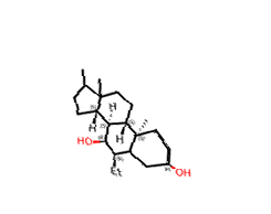 CC[C@@H]1C2C[C@H](O)CC[C@]2(C)[C@H]2CCC3(C)C(C)CC[C@H]3[C@@H]2[C@@H]1O